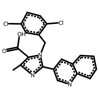 Cc1nc(-c2cnc3ccccc3c2)n(Cc2cc(Cl)ccc2Cl)c1C(=O)O